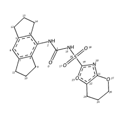 O=C(Nc1c2c(cc3c1CCC3)CCC2)NS(=O)(=O)c1nc2c(o1)CCCO2